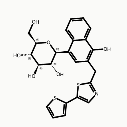 OC[C@H]1O[C@@H](c2cc(Cc3ncc(-c4cccs4)s3)c(O)c3ccccc23)[C@H](O)[C@@H](O)[C@@H]1O